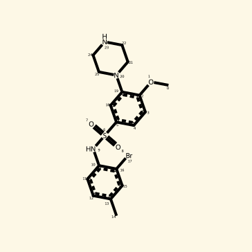 COc1ccc(S(=O)(=O)Nc2ccc(C)cc2Br)cc1N1CCNCC1